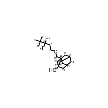 CC(C)(C)C(F)(F)CCOCC12CC3CC(CC(O)(C3)C1)C2